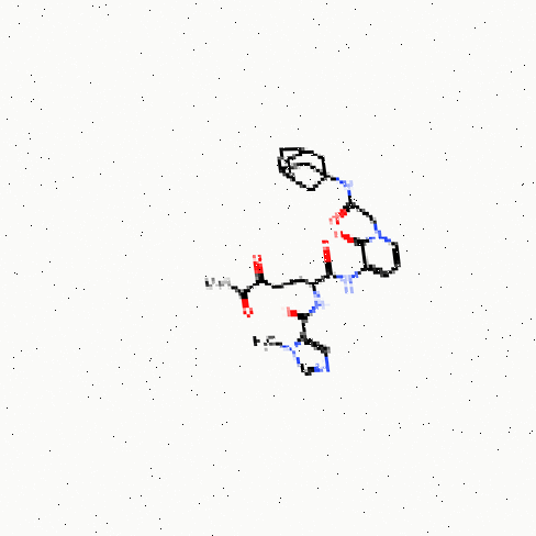 CNC(=O)C(=O)CC[C@H](NC(=O)c1cncn1C)C(=O)Nc1cccn(CC(=O)NC23CC4CC(C2)C(C4)C3)c1=O